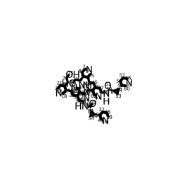 Nc1nc(-c2cnccc2C(CO)Nc2nc(-c3cnccc3CCO)cc3cc(NC(=O)[C@H]4C[C@@H]4c4cccnc4)ncc23)cc2cc(NC(=O)[C@@H]3C[C@H]3c3cccnc3)ncc12